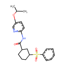 CC(C)Oc1ccc(NC(=O)C2CCCC(S(=O)(=O)c3ccccc3)C2)nc1